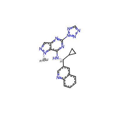 CC[C@@H](C)n1ncc2nc(-n3ncnn3)nc(N[C@@H](c3cnc4ccccc4c3)C3CC3)c21